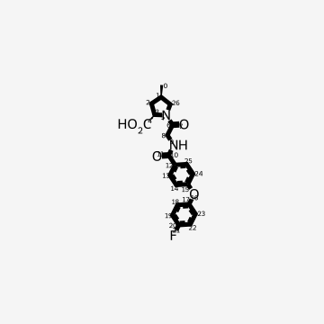 C[C@@H]1C[C@@H](C(=O)O)N(C(=O)CNC(=O)c2ccc(Oc3ccc(F)cc3)cc2)C1